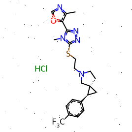 Cc1ncoc1-c1nnc(SCCN2CC[C@@]3(C[C@H]3c3ccc(C(F)(F)F)cc3)C2)n1C.Cl